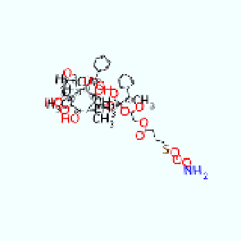 CC(=O)O[C@@]12CO[C@@H]1C[C@H](O)[C@@]1(C)C(=O)[C@H](O)C3=C(C)[C@@H](OC(=O)[C@H](OC(=O)COC(=O)CCCSOOON)[C@@H](C)c4ccccc4)C[C@](O)([C@@H](OC(=O)c4ccccc4)[C@H]21)C3(C)C